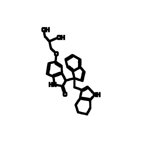 O=C1Nc2ccc(OCC(O)CO)cc2C1C1(Cc2c[nH]c3c2CCCC3)C=Cc2ccccc21